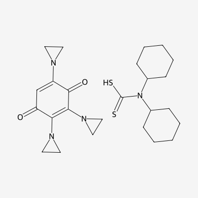 O=C1C=C(N2CC2)C(=O)C(N2CC2)=C1N1CC1.S=C(S)N(C1CCCCC1)C1CCCCC1